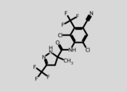 CC1(C(=O)Nc2c(Cl)cc(C#N)c(C(F)(F)F)c2Cl)CC(C(F)(F)F)=NN1